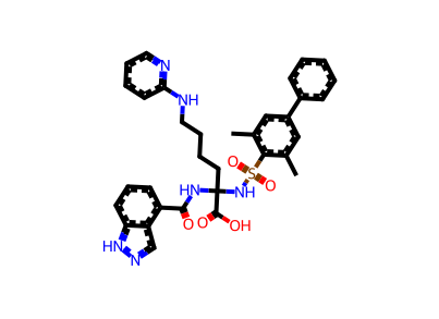 Cc1cc(-c2ccccc2)cc(C)c1S(=O)(=O)NC(CCCCNc1ccccn1)(NC(=O)c1cccc2[nH]ncc12)C(=O)O